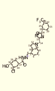 O=C(N/N=C/c1cccc2c1ccn2Cc1noc(-c2cccc(C(F)(F)F)c2)n1)c1ccc(O)c(Cl)c1